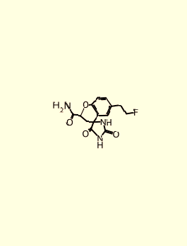 NC(=O)C1CC2(NC(=O)NC2=O)c2cc(CCF)ccc2O1